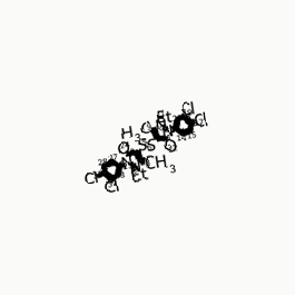 CCn1c(C)c(SSc2c(C)n(CC)n(-c3ccc(Cl)c(Cl)c3)c2=O)c(=O)n1-c1ccc(Cl)c(Cl)c1